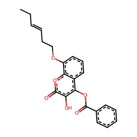 CC/C=C/CCOc1cccc2c(OC(=O)c3ccccc3)c(O)c(=O)oc12